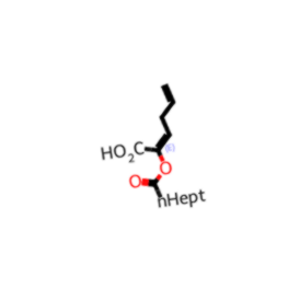 C=CC/C=C(/OC(=O)CCCCCCC)C(=O)O